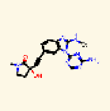 CCNc1nc2ccc(C#C[C@]3(O)CCN(C)C3=O)cc2n1-c1ncnc(N)n1